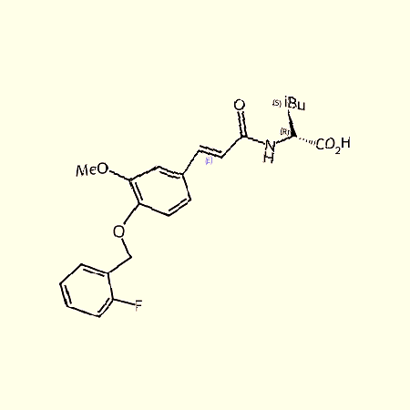 CC[C@H](C)[C@@H](NC(=O)/C=C/c1ccc(OCc2ccccc2F)c(OC)c1)C(=O)O